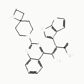 NC(=O)/C(=C(\C=O)c1nc(N2CCC3(CCN3)CC2)nc2ccccc12)c1c[nH]c2sccc12